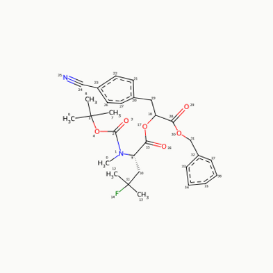 CN(C(=O)OC(C)(C)C)[C@@H](CC(C)(C)F)C(=O)OC(Cc1ccc(C#N)cc1)C(=O)OCc1ccccc1